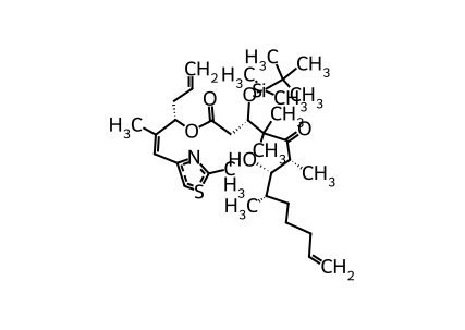 C=CCCC[C@H](C)[C@H](O)[C@@H](C)C(=O)C(C)(C)[C@H](CC(=O)O[C@@H](CC=C)C(C)=Cc1csc(C)n1)O[Si](C)(C)C(C)(C)C